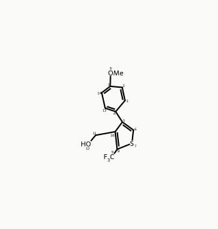 COc1ccc(-c2csc(C(F)(F)F)c2CO)cc1